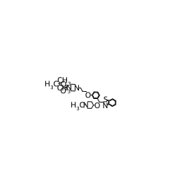 CN1CCC(OC(c2cccc(OCCCN3CCN(C(=O)OC(C)(C)C)CC3)c2)c2nc3ccccc3s2)CC1